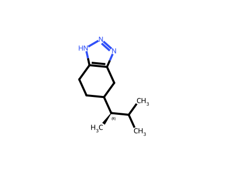 CC(C)[C@@H](C)C1CCc2[nH]nnc2C1